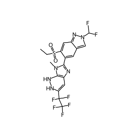 CCS(=O)(=O)c1cc2nn(C(F)F)cc2cc1-c1nc2c(n1C)NNC(C(F)(F)C(F)(F)F)=C2